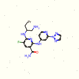 CC(C)CC(CN)Nc1nc(Nc2ccnc(-n3nccn3)c2)c(C(N)=O)cc1F